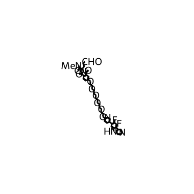 CNC(=O)C(CCC=O)N1C(=O)c2ccc(OCCOCCOCCOCCOCCOc3ccc(-c4cc5[nH]c6ccncc6c5c(F)c4F)cn3)cc2C1=O